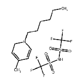 CCCCCCN1C=CC(C)=CC1.O=S(=O)(NS(=O)(=O)C(F)(F)F)C(F)(F)F